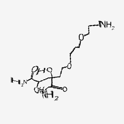 NCCOCCOCCC(O)(C(N)=O)C(O)C(N)=O